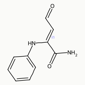 NC(=O)/C(=C/C=O)Nc1ccccc1